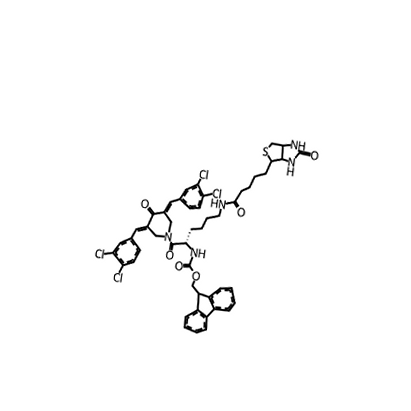 O=C(CCCCC1SCC2NC(=O)NC21)NCCCC[C@H](NC(=O)OCC1c2ccccc2-c2ccccc21)C(=O)N1C/C(=C\c2ccc(Cl)c(Cl)c2)C(=O)/C(=C/c2ccc(Cl)c(Cl)c2)C1